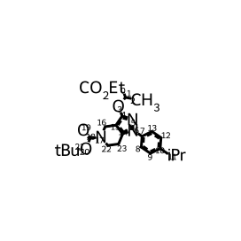 CCOC(=O)C(C)Oc1nn(-c2ccc(C(C)C)cc2)c2c1CN(C(=O)OC(C)(C)C)CC2